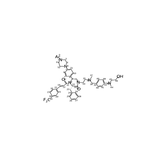 CC(=O)N1CCN(c2ccc(CN(C(=O)/C=C/c3ccc(C(F)(F)F)cc3)[C@@H](Cc3ccccc3)C(=O)N(C)CCN(C)Cc3ccc(N(C)CCO)cc3)cc2)CC1